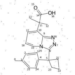 Cc1ccc(C2(c3nnc4c(C(C)(C)C(=O)O)cccn34)CCC2)cc1